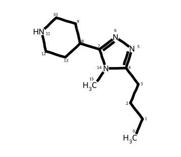 CCCCc1nnc(C2CCNCC2)n1C